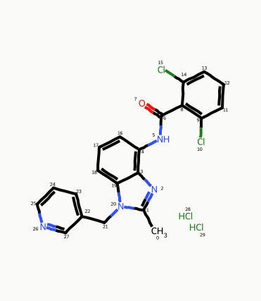 Cc1nc2c(NC(=O)c3c(Cl)cccc3Cl)cccc2n1Cc1cccnc1.Cl.Cl